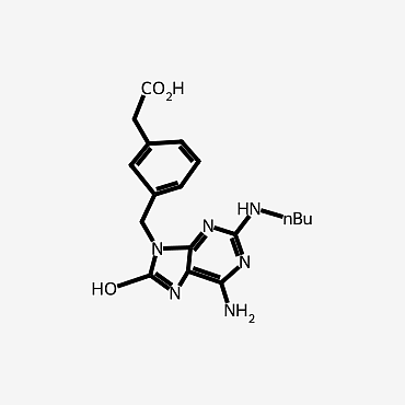 CCCCNc1nc(N)c2nc(O)n(Cc3cccc(CC(=O)O)c3)c2n1